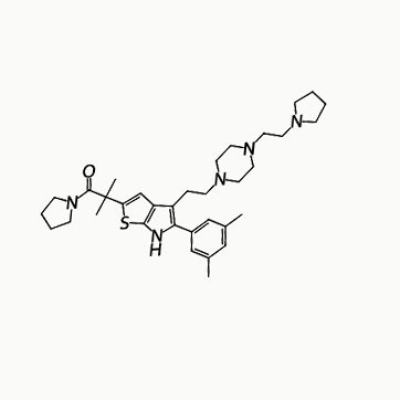 Cc1cc(C)cc(-c2[nH]c3sc(C(C)(C)C(=O)N4CCCC4)cc3c2CCN2CCN(CCN3CCCC3)CC2)c1